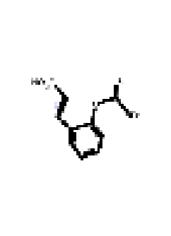 CC(C)C(Oc1ccccc1/C=C/C(=O)O)C(C)C